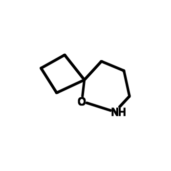 C1CNOC2(C1)CCC2